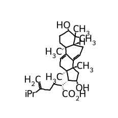 C=C(CC[C@@H](C(=O)O)[C@H]1[C@H](O)C[C@@]2(C)C3=CC[C@H]4C(C)(C)[C@H](O)CC[C@]4(C)C3=CC[C@]12C)C(C)C